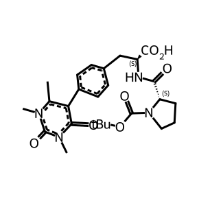 Cc1c(-c2ccc(C[C@H](NC(=O)[C@@H]3CCCN3C(=O)OC(C)(C)C)C(=O)O)cc2)c(=O)n(C)c(=O)n1C